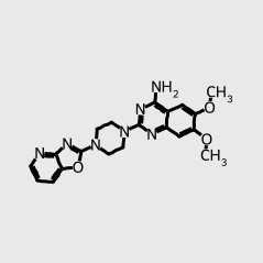 COc1cc2nc(N3CCN(c4nc5ncccc5o4)CC3)nc(N)c2cc1OC